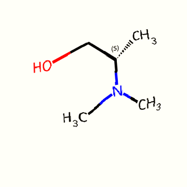 C[C@@H](CO)N(C)C